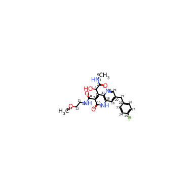 CNC(=O)C(O)c1c(C(=O)NCCOC)c(=O)[nH]c2cc(Cc3ccc(F)cc3)cnc12